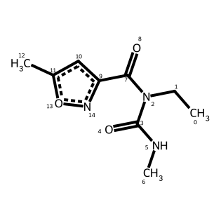 CCN(C(=O)NC)C(=O)c1cc(C)on1